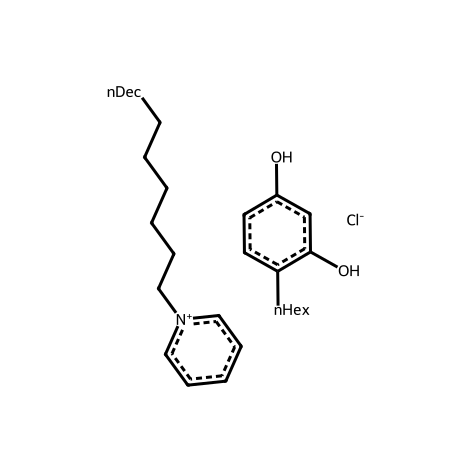 CCCCCCCCCCCCCCCC[n+]1ccccc1.CCCCCCc1ccc(O)cc1O.[Cl-]